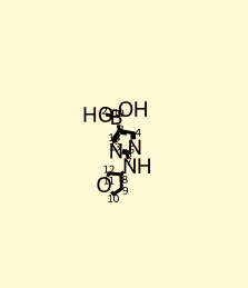 OB(O)c1cnc(NC2CCOC2)nc1